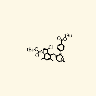 Cc1cc(C)c2c(c(Cl)cn2C(=O)OC(C)(C)C)c1C[C@@H]1CCN(C)C[C@H]1c1ccc(C(=O)OC(C)(C)C)cc1